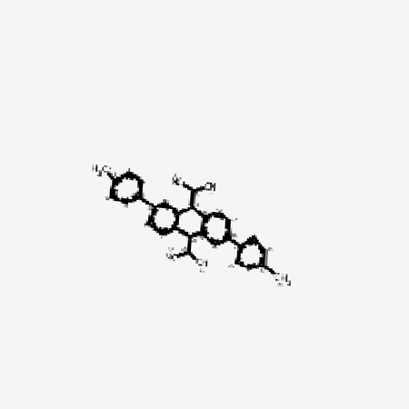 Cc1ccc(-c2ccc3c(c2)C(=C(C#N)C#N)c2ccc(-c4ccc(C)cc4)cc2C3C(C#N)C#N)cc1